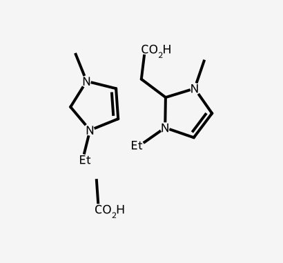 CC(=O)O.CCN1C=CN(C)C1.CCN1C=CN(C)C1CC(=O)O